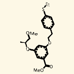 CCSc1ccc(CCOc2cc(O[C@@H](C)COC)cc(C(=O)OC)c2)cc1